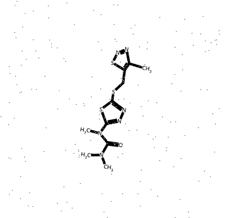 Cc1nnsc1CSc1nnc(N(C)C(=O)N(C)C)s1